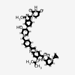 CC(C)Oc1cc2nc(C3CCC(CN4CC[C@H](c5ccc6c(N7CCC(=O)NC7=O)nn(C)c6c5)[C@H](O)C4)CC3)cn2cc1C(=O)Nc1cccn(C2CC2)c1=O